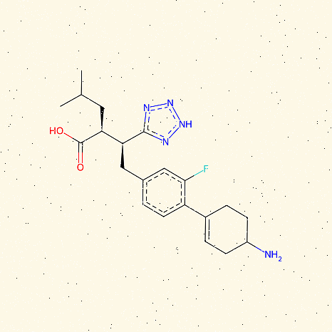 CC(C)C[C@H](C(=O)O)[C@H](Cc1ccc(C2=CCC(N)CC2)c(F)c1)c1nn[nH]n1